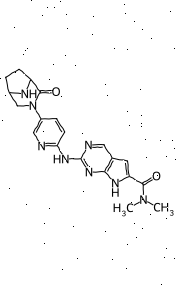 CN(C)C(=O)c1cc2cnc(Nc3ccc(N4CC5CCC(N5)C4=O)cn3)nc2[nH]1